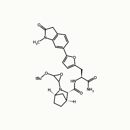 CN1C(=O)Cc2ccc(-c3ccc(C[C@H](NC(=O)[C@@H]4[C@H]5CC[C@H](C5)N4C4OC4OC(C)(C)C)C(N)=O)o3)cc21